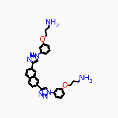 NCCCOc1cccc(-n2cc(-c3ccc4ccc(-c5cn(-c6cccc(OCCCN)c6)nn5)cc4c3)nn2)c1